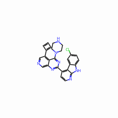 Clc1ccc2[nH]c3nccc(-c4nc(N5CCNCC5)c5c(C6=CC=C6)cncc5n4)c3c2c1